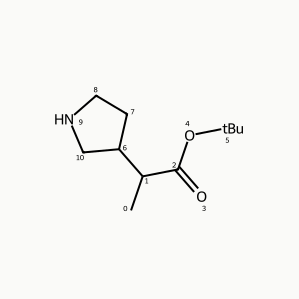 CC(C(=O)OC(C)(C)C)C1CCNC1